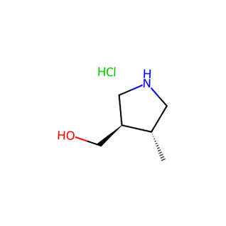 C[C@H]1CNC[C@@H]1CO.Cl